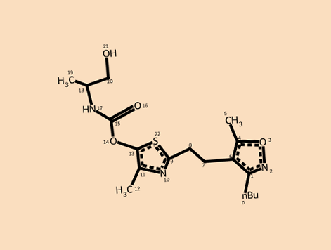 CCCCc1noc(C)c1CCc1nc(C)c(OC(=O)NC(C)CO)s1